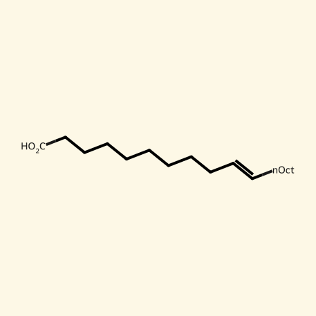 CCCCCCCC/C=C/CCCCCCCCC(=O)O